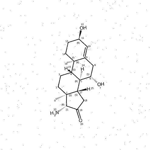 C[C@]12CC[C@H]3[C@@H]([C@@H](O)CC4=C[C@H](O)CC[C@@]43C)[C@@H]1CC(=O)[C@@H]2N